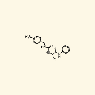 CCC(NC(=O)NCc1ccc(N)cc1)C(=O)Nc1ccccc1